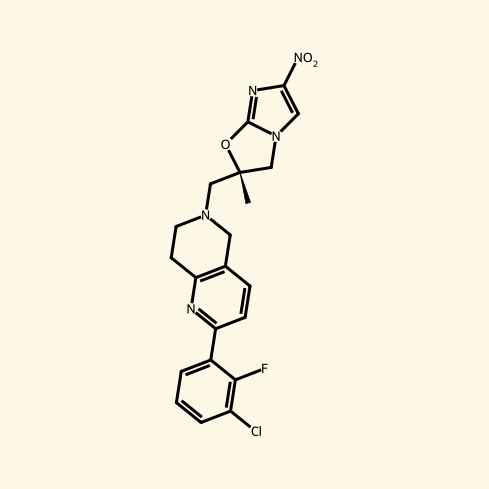 C[C@]1(CN2CCc3nc(-c4cccc(Cl)c4F)ccc3C2)Cn2cc([N+](=O)[O-])nc2O1